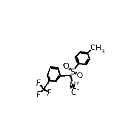 [C-]#[N+]C(c1cccc(C(F)(F)F)c1)S(=O)(=O)c1ccc(C)cc1